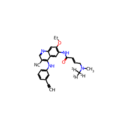 [2H]C([2H])([2H])N(C)C/C=C/C(=O)Nc1cc2c(Nc3cccc(C#C)c3)c(C#N)cnc2cc1OCC